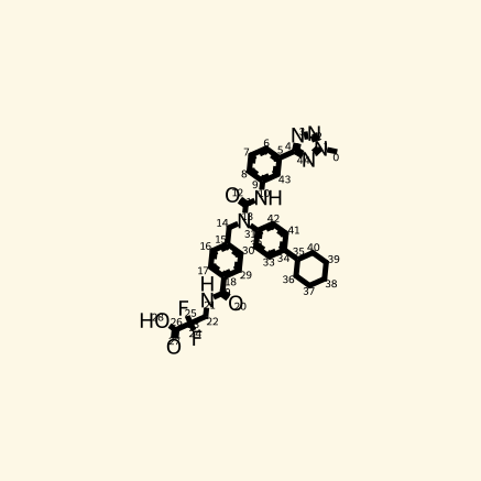 Cn1nnc(-c2cccc(NC(=O)N(Cc3ccc(C(=O)NCC(F)(F)C(=O)O)cc3)c3ccc(C4CCCCC4)cc3)c2)n1